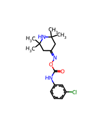 CC1(C)CC(=NOC(=O)Nc2cccc(Cl)c2)CC(C)(C)N1